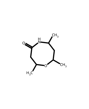 CC1CC(C)OC(C)CC(=O)N1